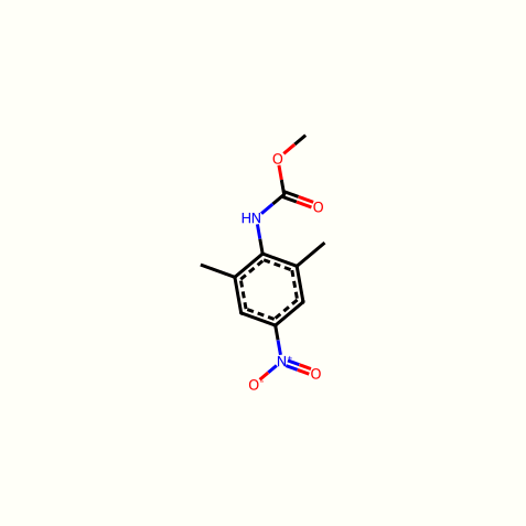 COC(=O)Nc1c(C)cc([N+](=O)[O-])cc1C